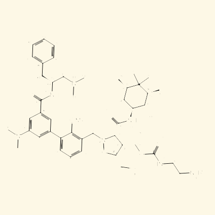 COc1c(CN2O[C@@H](CO)[C@@H]([C@H](C)OC(=O)NCCNC(C)=O)[C@H]2C(=O)N[C@H]2C[C@@H](C)C(C)(C)[C@@H](C)[C@@H]2C)cccc1-c1cc(C(=O)N[C@@H](Cc2ccccc2)CN(C)C)cc(N(C)C)c1